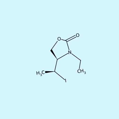 CCN1C(=O)OC[C@@H]1[C@H](C)I